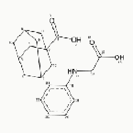 O=C(O)C12CC3CC(CC(C3)C1)C2.O=C(O)CNc1ccccc1